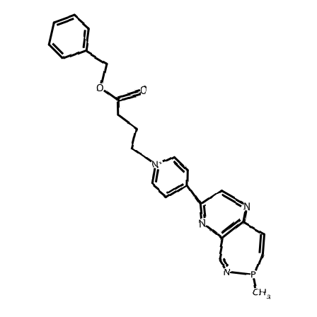 CP1C=Cc2ncc(-c3cc[n+](CCCC(=O)OCc4ccccc4)cc3)nc2C=N1